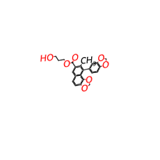 Cc1c(C(=O)OCCCO)cc2ccc3c(c2c1-c1ccc2c(c1)OCO2)OCO3